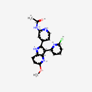 COc1ccc2[nH]c(-c3ccnc(NC(C)=O)c3)c(-c3cccc(Cl)n3)c2n1